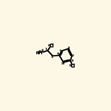 CCCC(Cl)Cc1cccc(Cl)c1